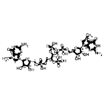 C[n+]1cn([C@@H]2O[C@H](COP(=O)(O)OC[C@H](OP(=O)(O)O)[C@@H](COP(=O)(O)OC[C@H]3O[C@@H](n4c[n+](C)c5c(=O)[nH]c(N)nc54)[C@H](O)[C@@H]3O)OP(=O)(O)O)[C@@H](O)[C@H]2O)c2nc(N)[nH]c(=O)c21